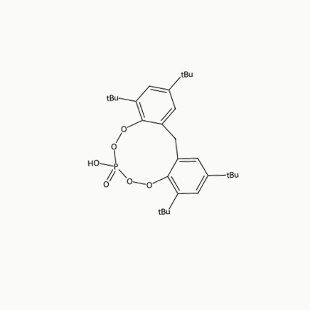 CC(C)(C)c1cc2c(c(C(C)(C)C)c1)OOP(=O)(O)OOc1c(cc(C(C)(C)C)cc1C(C)(C)C)C2